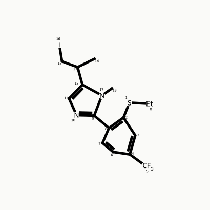 CCSc1cc(C(F)(F)F)ccc1-c1ncc(C(C)CI)n1C